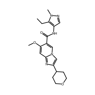 CCc1c(NC(=O)c2cn3cc(C4CCOCC4)nc3cc2OC)cnn1C